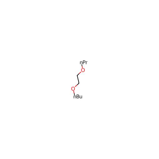 [CH2]CCCOCCOCC[CH2]